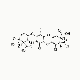 O=C(O)C1(Cl)C=CC(Oc2c(Cl)c(Cl)c(OC3=C(Cl)C(Cl)(C(=O)O)C(Cl)(C(=O)O)C=C3)c(Cl)c2Cl)=C(Cl)C1(Cl)C(=O)O